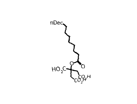 CCCCCCCCCCCCCCCCCC(=O)OC(CC(=O)O)(CC(=O)O)C(=O)O